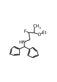 C[CH]OC(C)C(F)CNC(c1ccccc1)c1ccccc1